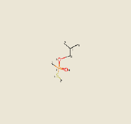 CSP(C)(=O)OCC(C)C